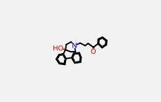 O=C(CCCN1CCC(O)(c2ccccc2-c2ccccc2)CC1)c1ccccc1